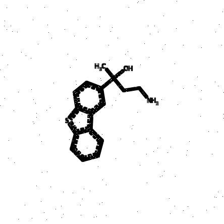 CC(O)(CCN)c1ccc2sc3ccccc3c2c1